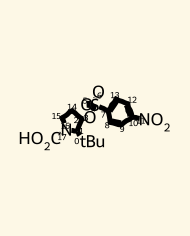 CC(C)(C)C1C(OS(=O)(=O)c2ccc([N+](=O)[O-])cc2)CCN1C(=O)O